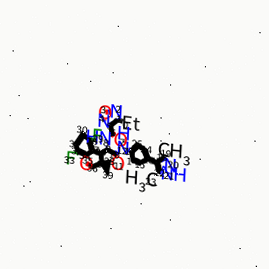 CCc1nonc1C(=O)N[C@H](C(=O)Nc1ccc(-c2c(C)n[nH]c2C)cc1)C1c2c(F)ccc(F)c2OCC12CC2